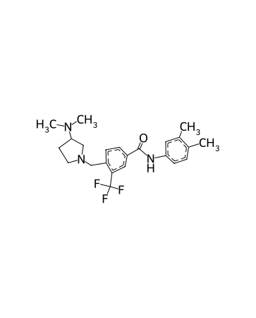 Cc1ccc(NC(=O)c2ccc(CN3CCC(N(C)C)C3)c(C(F)(F)F)c2)cc1C